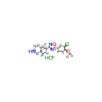 Cc1c(-c2noc(-c3ccc(OC(C)C)c(Cl)c3)n2)ccc2c1CCNC2.Cl